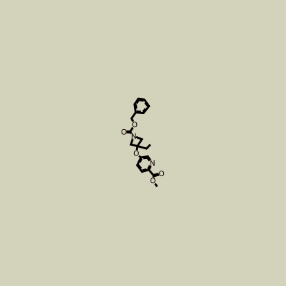 CCC1(Oc2ccc(C(=O)OC)nc2)CN(C(=O)OCc2ccccc2)C1